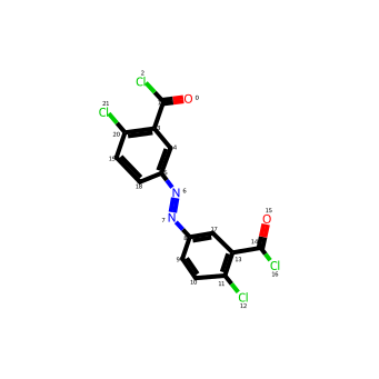 O=C(Cl)c1cc(N=Nc2ccc(Cl)c(C(=O)Cl)c2)ccc1Cl